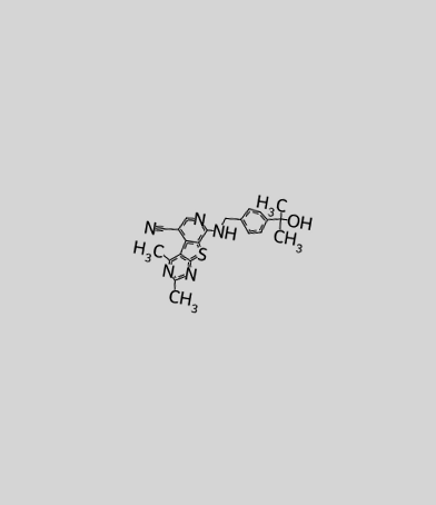 Cc1nc(C)c2c(n1)sc1c(NCc3ccc(C(C)(C)O)cc3)ncc(C#N)c12